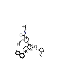 CCN1CCC[C@H]1COc1nc2c(c(N3CCN(C(=O)/C=C/CN(C)C)[C@@H](CC#N)C3)n1)CCN(c1cccc3ccccc13)C2